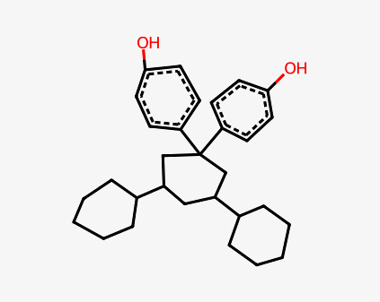 Oc1ccc(C2(c3ccc(O)cc3)CC(C3CCCCC3)CC(C3CCCCC3)C2)cc1